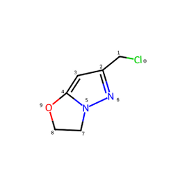 ClCc1cc2n(n1)CCO2